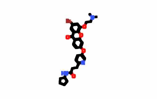 CN(C)CCOc1cc(Br)cc2c(=O)c3ccc(Oc4ccc(CCC(=O)NC5CCCC5)nc4)cc3oc12